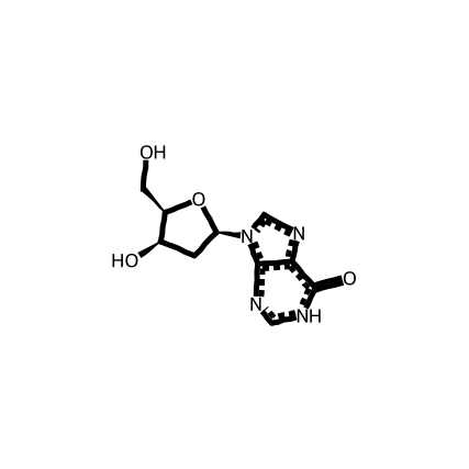 O=c1[nH]cnc2c1ncn2[C@H]1C[C@@H](O)[C@@H](CO)O1